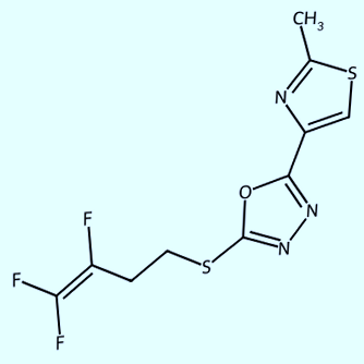 Cc1nc(-c2nnc(SCCC(F)=C(F)F)o2)cs1